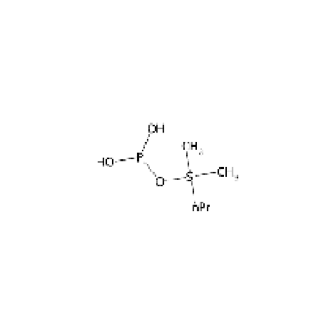 CCC[Si](C)(C)OP(O)O